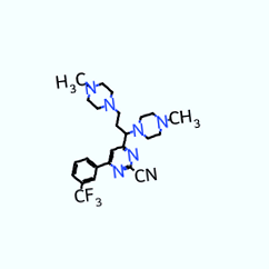 CN1CCN(CCC(c2cc(-c3cccc(C(F)(F)F)c3)nc(C#N)n2)N2CCN(C)CC2)CC1